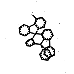 Brc1cccc2c1-c1ccccc1C21c2ccccc2C2(c3ccccc3)c3ccccc3-c3cccc1c32